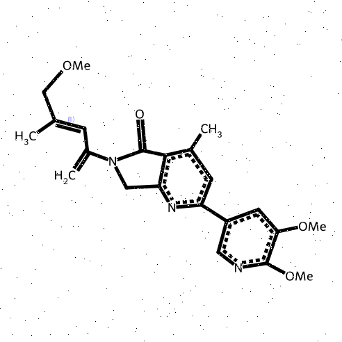 C=C(/C=C(\C)COC)N1Cc2nc(-c3cnc(OC)c(OC)c3)cc(C)c2C1=O